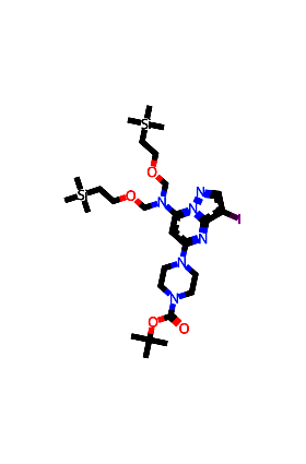 CC(C)(C)OC(=O)N1CCN(c2cc(N(COCC[Si](C)(C)C)COCC[Si](C)(C)C)n3ncc(I)c3n2)CC1